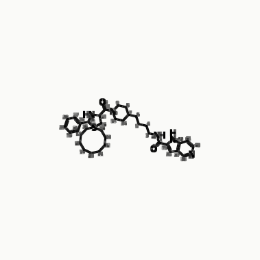 O=C(NCCCCC1CCN(C(=O)C2CS3(CCCCCCCCC3)C(c3ccccc3)N2)CC1)c1cc2cnccc2[nH]1